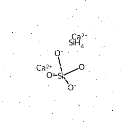 [Ca+2].[Ca+2].[O-][Si]([O-])([O-])[O-].[SiH4]